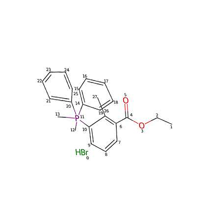 Br.CCOC(=O)c1cccc(P(C)(C)(c2ccccc2)c2ccccc2)c1C